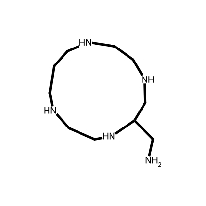 NCC1CNCCNCCCNCCN1